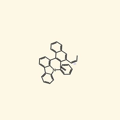 C=Cc1c(/C=C\C)cc2ccccc2c1-c1cccc2c3ccccc3n(-c3ccccc3)c12